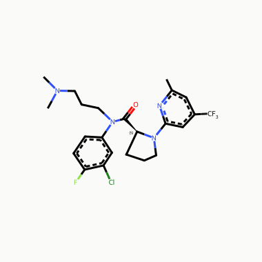 Cc1cc(C(F)(F)F)cc(N2CCC[C@H]2C(=O)N(CCCN(C)C)c2ccc(F)c(Cl)c2)n1